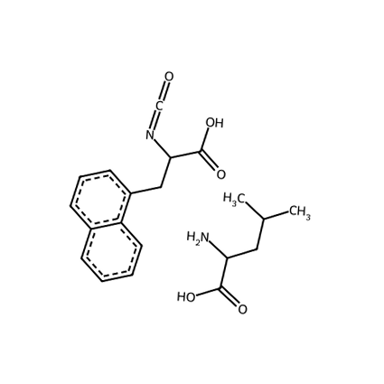 CC(C)CC(N)C(=O)O.O=C=NC(Cc1cccc2ccccc12)C(=O)O